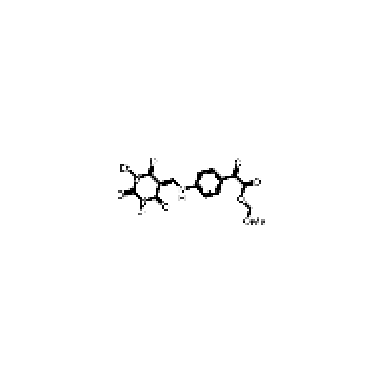 CCN1C(=O)C(=CNc2ccc(C(=O)C(=O)OCOC)cc2)C(=O)N(CC)C1=O